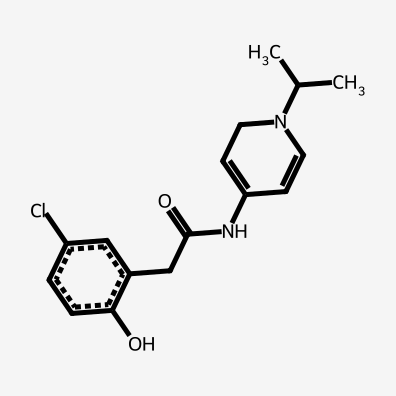 CC(C)N1C=CC(NC(=O)Cc2cc(Cl)ccc2O)=CC1